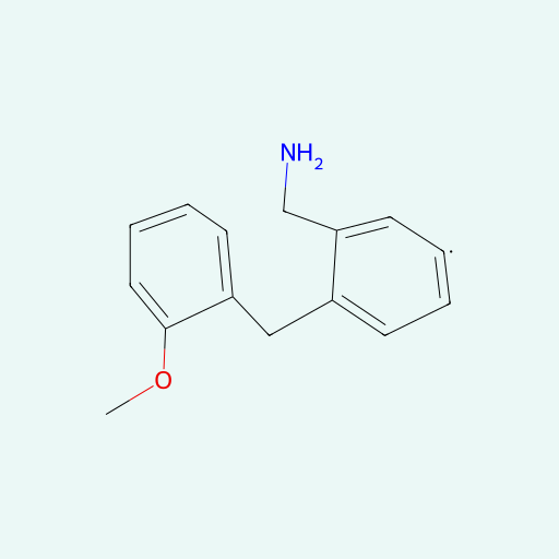 COc1ccccc1Cc1cc[c]cc1CN